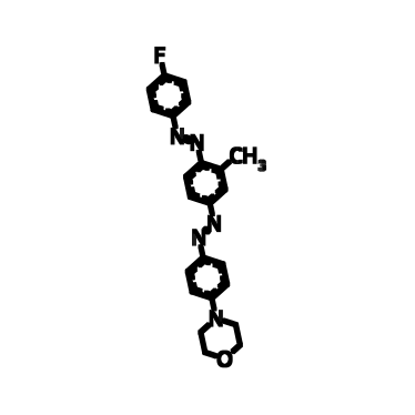 Cc1cc(/N=N/c2ccc(N3CCOCC3)cc2)ccc1/N=N/c1ccc(F)cc1